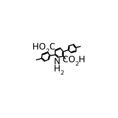 Cc1ccc(-c2cc(C(=O)O)c(-c3ccc(C)cc3)c(N)c2C(=O)O)cc1